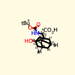 CC(C)(C)OC(=O)N[C@H](C(=O)O)[C@@]12C[C@@H]3C[C@@H](C[C@](O)(C3)C1)C2